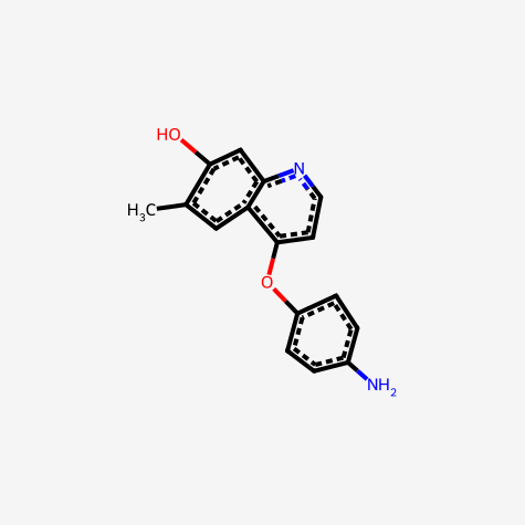 Cc1cc2c(Oc3ccc(N)cc3)ccnc2cc1O